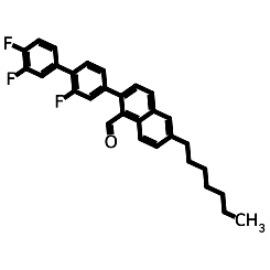 CCCCCCCc1ccc2c(C=O)c(-c3ccc(-c4ccc(F)c(F)c4)c(F)c3)ccc2c1